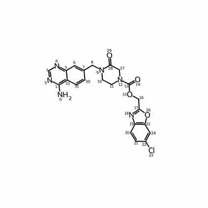 Nc1ncnc2cc(CN3CCN(C(=O)OCc4nc5ccc(Cl)cc5o4)CC3=O)ccc12